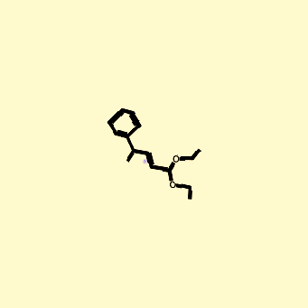 CCOC(/C=C/C(C)c1ccccc1)OCC